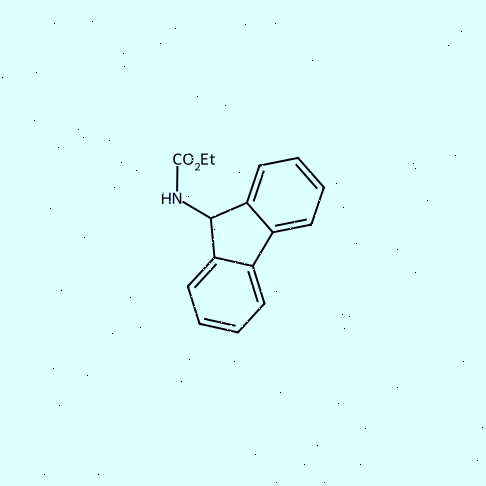 CCOC(=O)NC1c2ccccc2-c2ccccc21